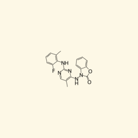 Cc1cnc(Nc2c(C)cccc2F)nc1Nn1c(=O)oc2ccccc21